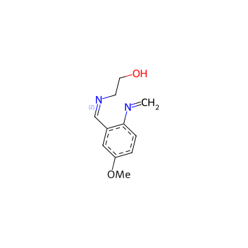 C=Nc1ccc(OC)cc1/C=N\CCO